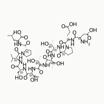 CC(C)C[C@H](NC(=O)[C@@H]1CCCN1C(=O)[C@@H](NC(=O)[C@H](CO)NC(=O)[C@@H](NC(=O)[C@@H](NC(=O)[C@@H](NC(=O)[C@@H](NC(=O)[C@@H]1CCCN1C(=O)[C@H](CCC(=O)O)NC(=O)[C@@H](N)CC(=O)O)[C@@H](C)O)[C@@H](C)O)[C@@H](C)O)[C@@H](C)O)C(C)C)C(=O)O